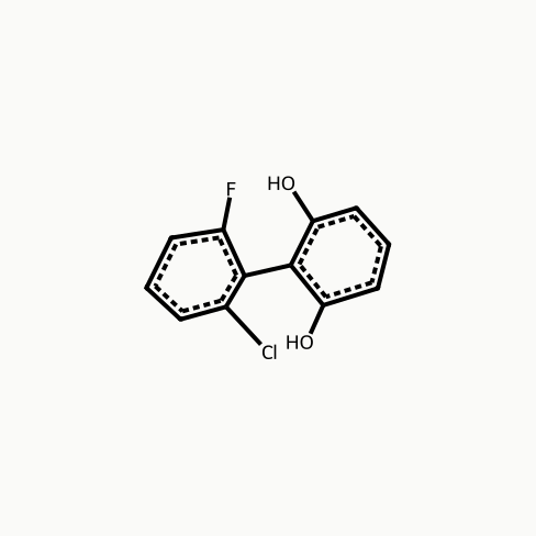 Oc1cccc(O)c1-c1c(F)cccc1Cl